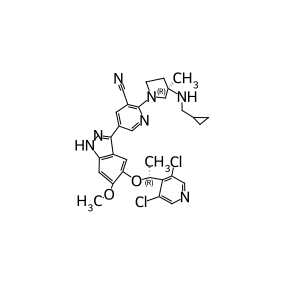 COc1cc2[nH]nc(-c3cnc(N4CC[C@@](C)(NCC5CC5)C4)c(C#N)c3)c2cc1O[C@H](C)c1c(Cl)cncc1Cl